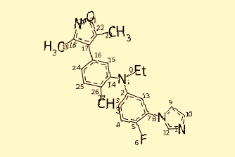 CCN(c1ccc(F)c(-n2ccnc2)c1)c1cc(-c2c(C)noc2C)ccc1C